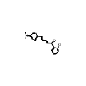 CN(C)c1ccc(/C=C/C=C/C(=O)c2ccccc2Cl)cc1